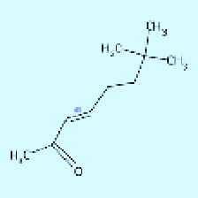 CC(=O)/C=C/CCC(C)(C)C